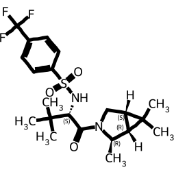 C[C@@H]1[C@@H]2[C@H](CN1C(=O)[C@@H](NS(=O)(=O)c1ccc(C(F)(F)F)cc1)C(C)(C)C)C2(C)C